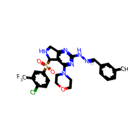 Cc1cccc(/C=N/Nc2nc3c(c(N4CCOCC4)n2)C(S(=O)(=O)c2ccc(Cl)c(C(F)(F)F)c2)NC3)c1